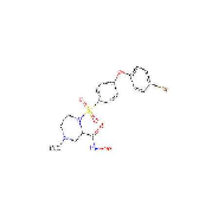 CN1CCN(S(=O)(=O)c2ccc(Oc3ccc(Br)cc3)cc2)C(C(=O)NO)C1